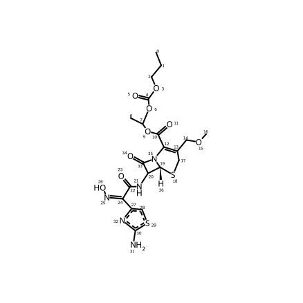 CCCOC(=O)OC(C)OC(=O)C1=C(COC)CS[C@@H]2C(NC(=O)/C(=N\O)c3csc(N)n3)C(=O)N12